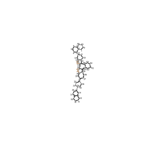 C1=Cc2c(cccc2-c2ccc3c(c2)sc2c4sc5cc(C6=CCC(c7ccc8ccccc8c7)C=C6)ccc5c4c4ccccc4c32)CC1